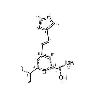 CC(C)c1cc(/C=C/c2ccoc2)cc(B(O)O)c1